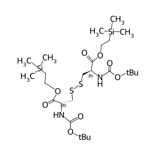 CC(C)(C)OC(=O)N[C@@H](CSSC[C@H](NC(=O)OC(C)(C)C)C(=O)OCC[Si](C)(C)C)C(=O)OCC[Si](C)(C)C